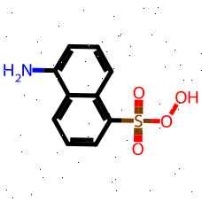 Nc1cccc2c(S(=O)(=O)OO)cccc12